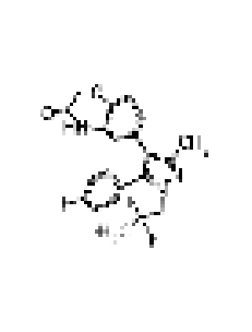 [CH2]C(F)(F)Cn1nc(C)c(-c2ccc3c(c2)NC(=O)CO3)c1-c1ccc(F)cc1